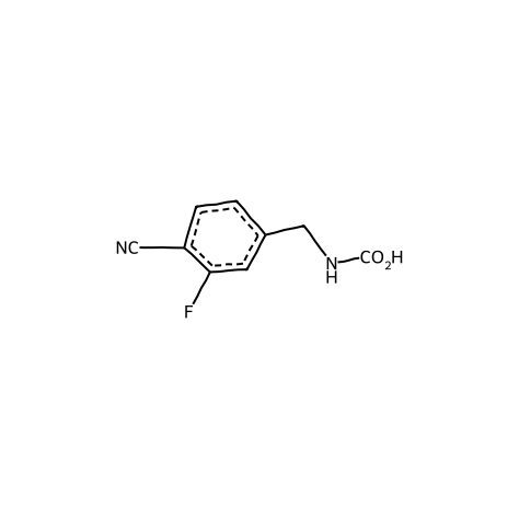 N#Cc1ccc(CNC(=O)O)cc1F